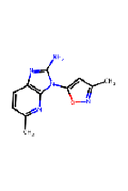 Cc1cc(-n2c(N)nc3ccc(C)nc32)on1